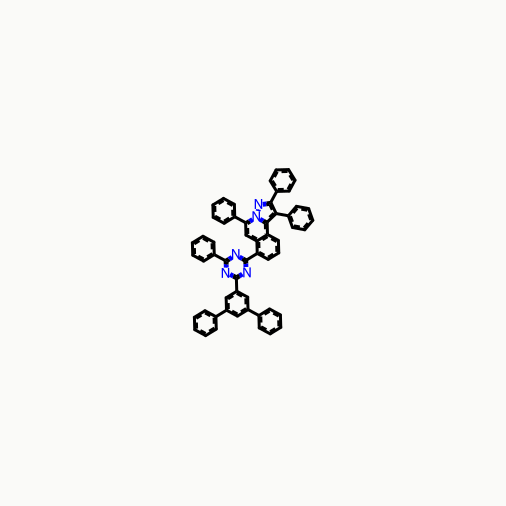 c1ccc(-c2cc(-c3ccccc3)cc(-c3nc(-c4ccccc4)nc(-c4cccc5c4cc(-c4ccccc4)n4nc(-c6ccccc6)c(-c6ccccc6)c54)n3)c2)cc1